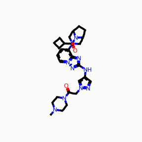 CN1CCN(C(=O)Cn2cc(Nc3nc4c(N5CC6CCC(C5)N6C(=O)C5CCC5)cccn4n3)cn2)CC1